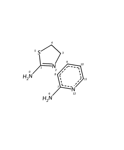 NC1=NCCS1.Nc1ccccn1